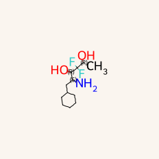 C[C@@H](O)C(F)(F)[C@H](O)[C@@H](N)CC1CCCCC1